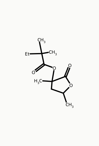 CCC(C)(C)C(=O)OC1(C)CC(C)OC1=O